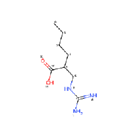 CCCCC(CNC(=N)N)C(=O)O